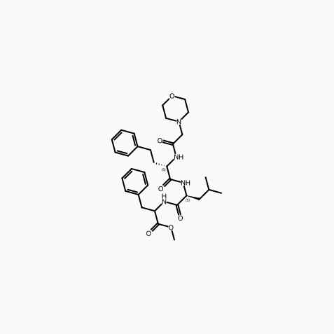 COC(=O)C(Cc1ccccc1)NC(=O)[C@H](CC(C)C)NC(=O)[C@H](CCc1ccccc1)NC(=O)CN1CCOCC1